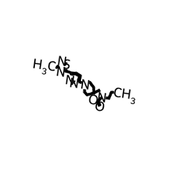 CCCN1CC2(CCN(c3ccc(-c4nc(C)ns4)nn3)CC2)OC1=O